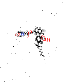 CCCCCCC(C)(C)c1ccc(-c2cccc3ccc(COC(=O)CCCN4CCOCC4)cc23)c(O)c1